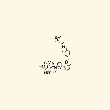 CO/C(Nc1cccc(-c2cccc(C)c2OCc2ccc3c(c2)CCN(C(C)CCOC(C)(C)C)C3)n1)=C(/C=N)C(=O)O